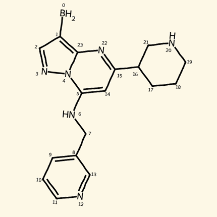 Bc1cnn2c(NCc3cccnc3)cc(C3CCCNC3)nc12